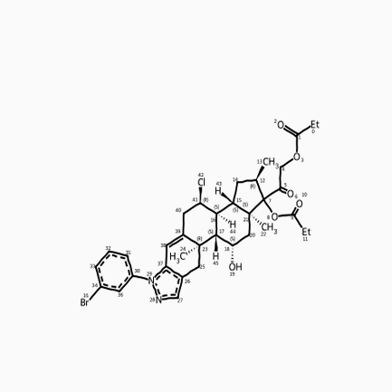 CCC(=O)OCC(=O)C1(OC(=O)CC)[C@H](C)C[C@H]2[C@H]3[C@H]([C@@H](O)C[C@@]21C)[C@@]1(C)Cc2cnn(-c4cccc(Br)c4)c2C=C1C[C@H]3Cl